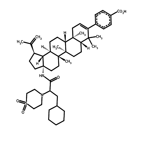 C=C(C)[C@@H]1CC[C@]2(NC(=O)C(CC3CCCCC3)N3CCS(=O)(=O)CC3)CC[C@]3(C)[C@H](CC[C@@H]4[C@@]5(C)CC=C(c6ccc(C(=O)O)cc6)C(C)(C)[C@@H]5CC[C@]43C)[C@@H]12